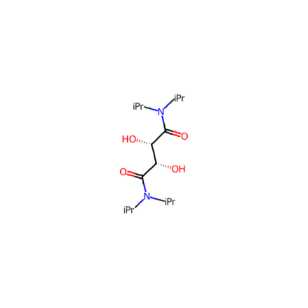 CC(C)N(C(=O)[C@@H](O)[C@H](O)C(=O)N(C(C)C)C(C)C)C(C)C